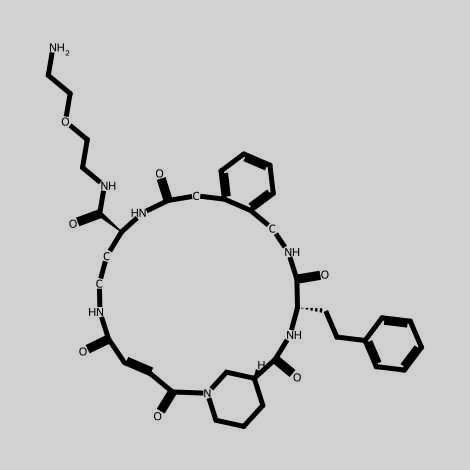 NCCOCCNC(=O)[C@@H]1CCNC(=O)/C=C/C(=O)N2CCC[C@H](C2)C(=O)N[C@@H](CCc2ccccc2)C(=O)NCc2ccccc2CC(=O)N1